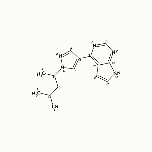 CC(C#N)CC(C)n1cc(-c2ncnc3[nH]ccc23)cn1